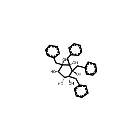 O[C@@H]1[C@H](O)[C@](O)(Cc2ccccc2)[C@@](O)(Cc2ccccc2)[C@](O)(Cc2ccccc2)[C@@]1(O)Cc1ccccc1